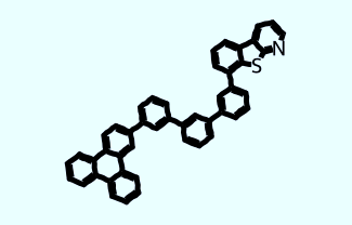 c1cc(-c2cccc(-c3ccc4c5ccccc5c5ccccc5c4c3)c2)cc(-c2cccc(-c3cccc4c3sc3ncccc34)c2)c1